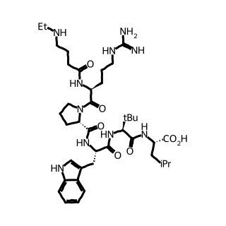 CCNCCCC(=O)N[C@@H](CCCNC(=N)N)C(=O)N1CCC[C@H]1C(=O)N[C@@H](Cc1c[nH]c2ccccc12)C(=O)N[C@H](C(=O)N[C@@H](CC(C)C)C(=O)O)C(C)(C)C